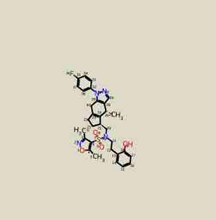 Cc1noc(C)c1S(=O)(=O)N(CCc1ccccc1O)C[C@H]1CCC2=C1[C@@H](C)c1cnn(-c3ccc(F)cc3)c1C2